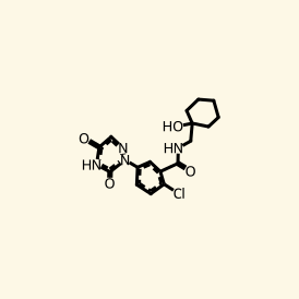 O=C(NCC1(O)CCCCC1)c1cc(-n2ncc(=O)[nH]c2=O)ccc1Cl